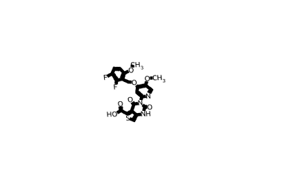 COc1cnc(-n2c(=O)[nH]c3csc(C(=O)O)c3c2=O)cc1OCc1c(OC)ccc(F)c1F